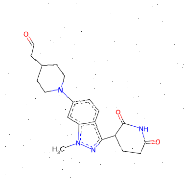 Cn1nc(C2CCC(=O)NC2=O)c2ccc(N3CCC(CC=O)CC3)cc21